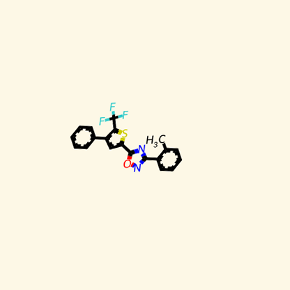 Cc1ccccc1-c1noc(-c2cc(-c3ccccc3)c(C(F)(F)F)s2)n1